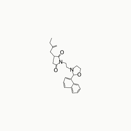 C=C(CC)CC1CC(=O)N(CCN2CCOC2c2cccc3ccccc23)C1=O